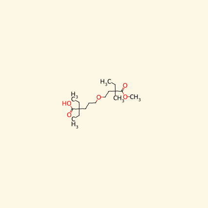 CCC(C)(CCOCCCC(CC)(CC)C(=O)O)C(=O)OC